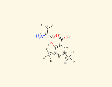 CC(C)[C@H](N)C(=O)Oc1c(C=O)cc(C(C)(C)C)cc1C(C)(C)C